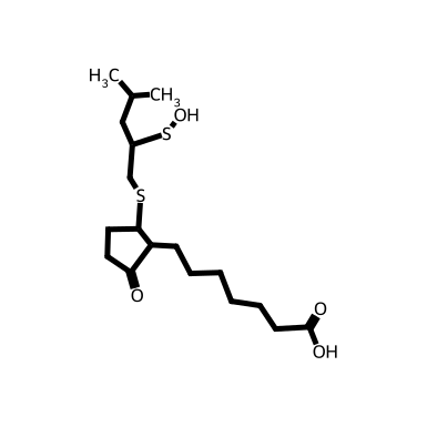 CC(C)CC(CSC1CCC(=O)C1CCCCCCC(=O)O)SO